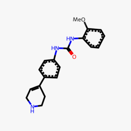 COc1ccccc1NC(=O)Nc1ccc(C2=CCNCC2)cc1